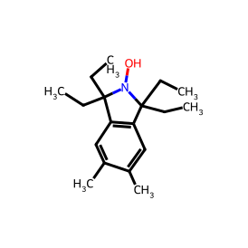 CCC1(CC)c2cc(C)c(C)cc2C(CC)(CC)N1O